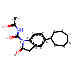 CC(C)C(=O)NC(=O)N1C(=O)Cc2cc(C3CCCCCC3)ccc21